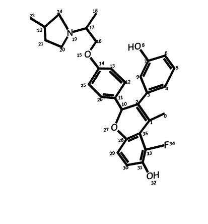 CC1=C(c2cccc(O)c2)C(c2ccc(OCC(C)N3CCC(C)C3)cc2)Oc2ccc(O)c(F)c21